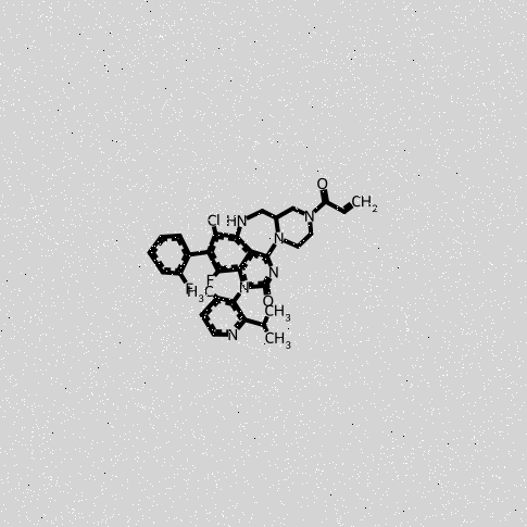 C=CC(=O)N1CCN2c3nc(=O)n(-c4c(C)ccnc4C(C)C)c4c(F)c(-c5ccccc5F)c(Cl)c(c34)NCC2C1